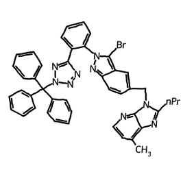 CCCc1nc2c(C)ccnc2n1Cc1ccc2nn(-c3ccccc3-c3nnn(C(c4ccccc4)(c4ccccc4)c4ccccc4)n3)c(Br)c2c1